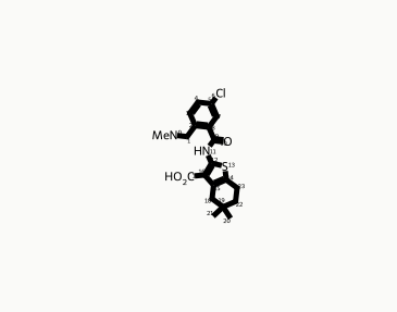 CNCc1ccc(Cl)cc1C(=O)Nc1sc2c(c1C(=O)O)CC(C)(C)CC2